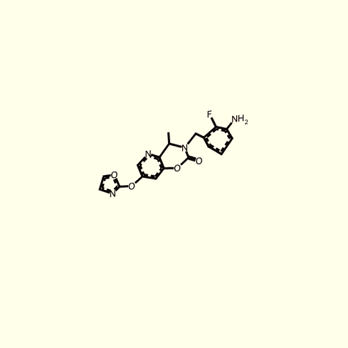 CC1c2ncc(Oc3ncco3)cc2OC(=O)N1Cc1cccc(N)c1F